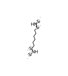 [Si]N[Si]CCCCCC[Si]N[Si]